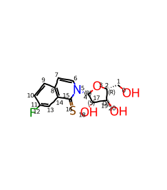 OC[C@H]1O[C@@H](n2ccc3ccc(F)cc3c2=S)[C@@H](O)[C@@H]1O